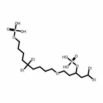 CCC(CC)CC(CCOCCCCC(CC)(CC)CCCCOP(=O)(O)O)OP(=O)(O)O